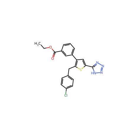 CCOC(=O)c1cccc(-c2cc(-c3nnn[nH]3)sc2Cc2ccc(Cl)cc2)c1